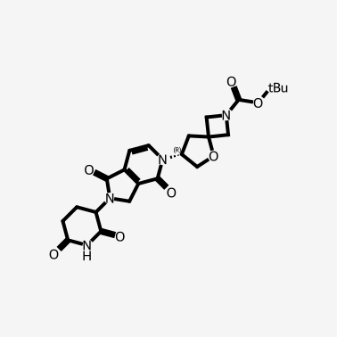 CC(C)(C)OC(=O)N1CC2(C[C@@H](n3ccc4c(c3=O)CN(C3CCC(=O)NC3=O)C4=O)CO2)C1